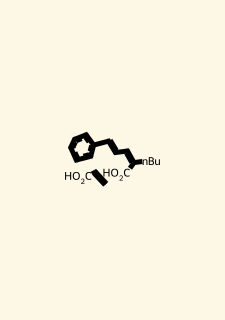 C=CC(=O)O.CCCCC(=CC=Cc1ccccc1)C(=O)O